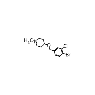 CN1CCC(OCc2ccc(Br)c(Cl)c2)CC1